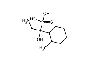 CC1CCCCC1C(O)(CN)P(O)(=S)S